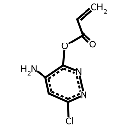 C=CC(=O)Oc1nnc(Cl)cc1N